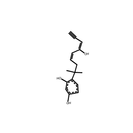 C#C/C=C(O)\C=C/CC(C)(C)c1ccc(O)cc1O